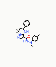 CCN(NC(=O)c1cnn2c1NC(c1ccccc1)CC2(C)C)c1ccc(C)cc1